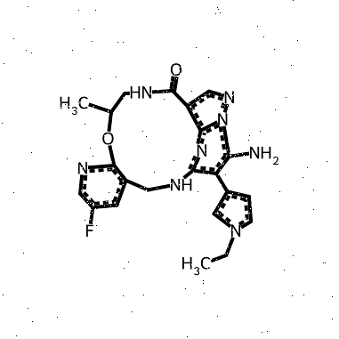 CCn1ccc(-c2c3nc4c(cnn4c2N)C(=O)NCC(C)Oc2ncc(F)cc2CN3)c1